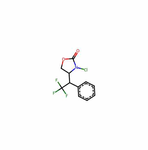 O=C1OCC(C(c2ccccc2)C(F)(F)F)N1Cl